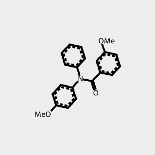 COc1ccc(N(C(=O)c2cccc(OC)c2)c2ccccc2)cc1